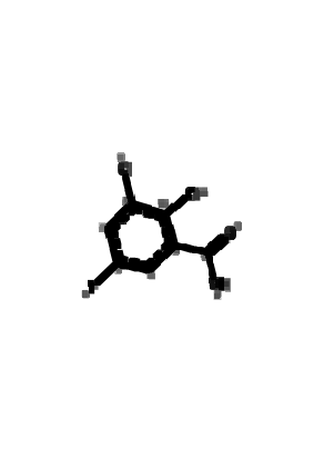 O=C(O)c1cc(F)cc(Cl)c1Cl